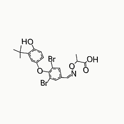 CC(O/N=C\c1cc(Br)c(Oc2ccc(O)c(C(C)(C)C)c2)c(Br)c1)C(=O)O